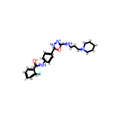 O=C(Nc1ccc(-c2nnc(NCCCN3CCCCC3)o2)cc1)c1ccccc1F